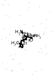 CCC(C)(CC1(C)CCC1)CC(CC)(C(=O)NN)C(=O)NN